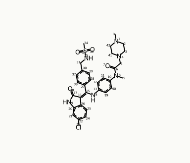 CN1CCN(CC(=O)N(C)c2ccc(NC(=C3C(=O)Nc4cc(Cl)ccc43)c3ccc(CNS(C)(=O)=O)cc3)cc2)CC1